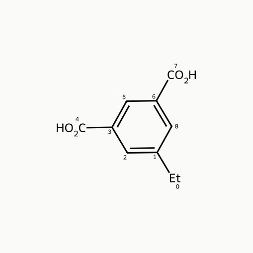 CCc1cc(C(=O)O)cc(C(=O)O)c1